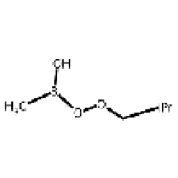 CB(O)OOCC(C)C